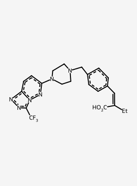 CCC(=Cc1ccc(CN2CCN(c3ccc4nnc(C(F)(F)F)n4n3)CC2)cc1)C(=O)O